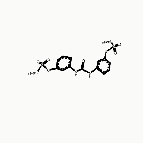 CCCCCS(=O)(=O)Oc1cccc(NC(=O)Nc2cccc(OS(=O)(=O)CCCCC)c2)c1